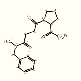 CCOC(=O)C(=O)C1CCCN1C(=O)CCC(=O)N(C)Cc1ccccc1